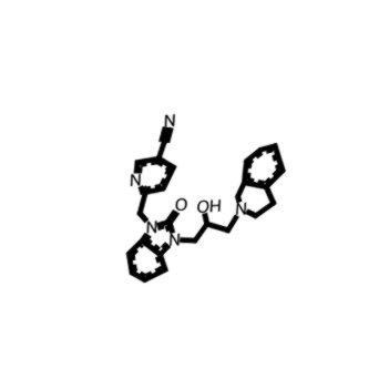 N#Cc1ccc(Cn2c(=O)n(CC(O)CN3CCc4ccccc4C3)c3ccccc32)nc1